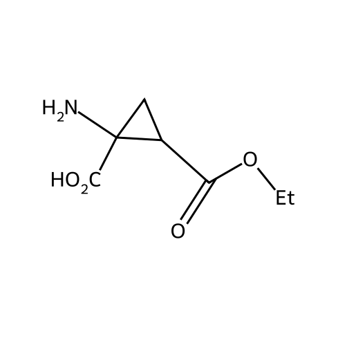 CCOC(=O)C1CC1(N)C(=O)O